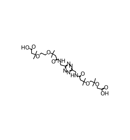 CC(C)(COC(C)(C)CC(=O)NCc1nnc(CNC(=O)CC(C)(C)OCCOC(C)(C)CC(=O)O)nn1)OCC(=O)O